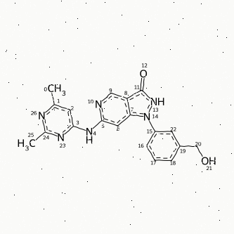 Cc1cc(Nc2cc3c(cn2)c(=O)[nH]n3-c2cccc(CO)c2)nc(C)n1